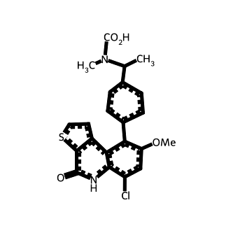 COc1cc(Cl)c2[nH]c(=O)c3sccc3c2c1-c1ccc(C(C)N(C)C(=O)O)cc1